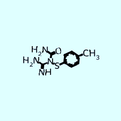 Cc1ccc(SN(C(=N)N)C(N)=O)cc1